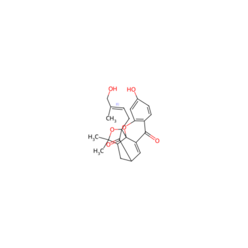 C/C(=C\CC12OC(C)(C)C3CC(C=C4C(=O)c5ccc(O)cc5OC431)C2=O)CO